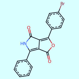 O=C1NC(c2ccccc2)=C2C(=O)OC(c3ccc(Br)cc3)=C12